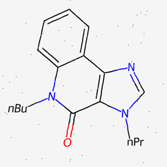 CCCCn1c(=O)c2c(ncn2CCC)c2ccccc21